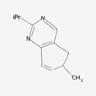 CC1C=Cc2nc(C(C)C)ncc2C1